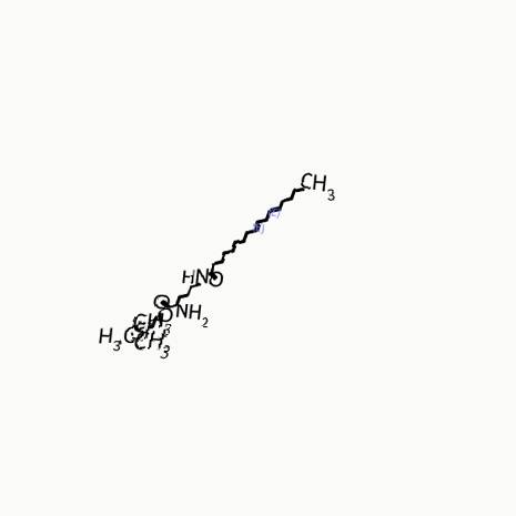 CCCCC/C=C/C/C=C/CCCCCCCC(=O)NCCCCC(N)C(=O)OCC[Si](C)(C)C